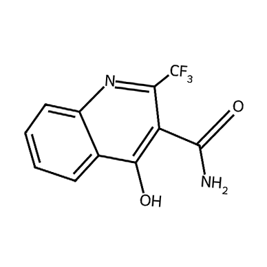 NC(=O)c1c(C(F)(F)F)nc2ccccc2c1O